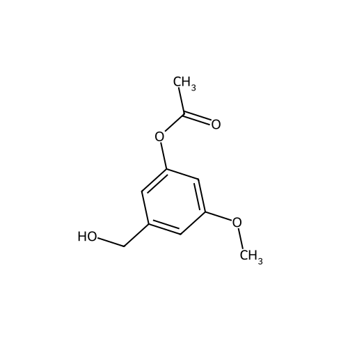 COc1cc(CO)cc(OC(C)=O)c1